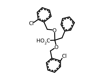 O=C(O)C(Cc1ccccc1)(OCc1ccccc1Cl)OCc1ccccc1Cl